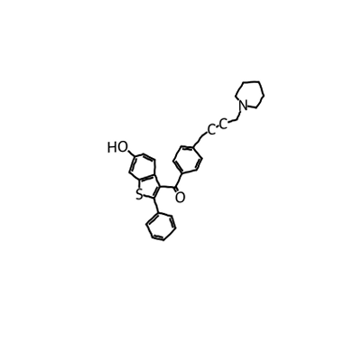 O=C(c1ccc(CCCCN2CCCCC2)cc1)c1c(-c2ccccc2)sc2cc(O)ccc12